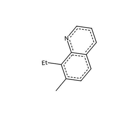 CCc1c(C)ccc2cccnc12